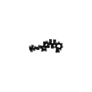 CC(=O)N1CCCCC(NC(=O)Nc2cnc3c(ccn3COCC[Si](C)(C)C)n2)C1